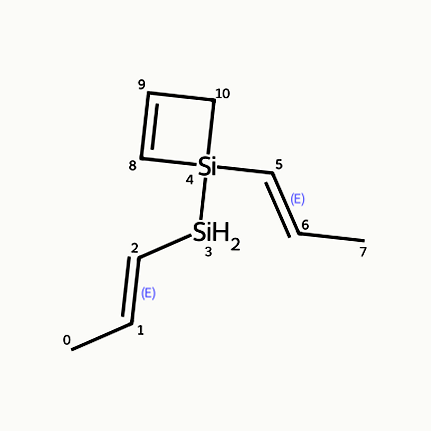 C/C=C/[SiH2][Si]1(/C=C/C)C=CC1